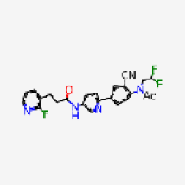 CC(=O)N(CC(F)F)c1ccc(-c2ccc(NC(=O)CCc3cccnc3F)cn2)cc1C#N